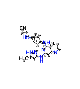 Cc1cc(Nc2cc3ncccc3c(N[C@@H]3CC4CC3C[C@@H]4NCCC#N)n2)n[nH]1